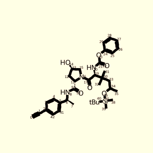 C#Cc1ccc([C@H](C)NC(=O)[C@@H]2C[C@@H](O)CN2C(=O)[C@@H](NC(=O)Oc2ccccc2)C(C)(C)CC(C)O[Si](C)(C)C(C)(C)C)cc1